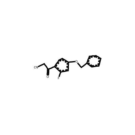 [C-]#[N+]CC(=O)c1ccc(OCc2ccccc2)cc1F